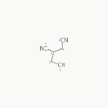 N#CCC(C#N)CC#N